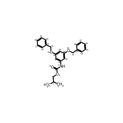 CC(C)COC(=O)Nc1cc(OCc2ccccc2)cc(OCc2ccccc2)c1